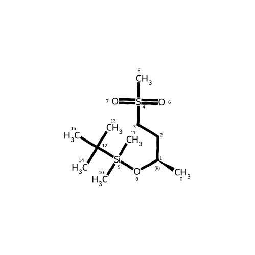 C[C@H](CCS(C)(=O)=O)O[Si](C)(C)C(C)(C)C